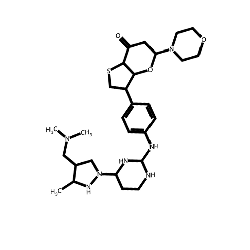 CC1NN(C2CCNC(Nc3ccc(C4CSC5C(=O)CC(N6CCOCC6)OC54)cc3)N2)CC1CN(C)C